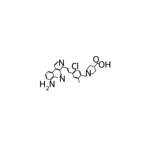 Cc1cc(/C=C/c2nccc(-c3cccc(N)c3C)c2C#N)c(Cl)cc1CN1CCC(C(=O)O)CC1